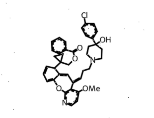 COc1ccnc2c1C(=CCCN1CCC(O)(c3ccc(Cl)cc3)CC1)C=C1C(=CC=CC1C1(COC(=O)c3ccccc3)CC1)O2